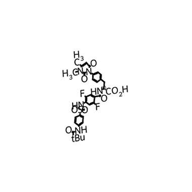 Cc1cc(=O)n(-c2ccc(C[C@H](NC(=O)c3cc(F)c(NS(=O)(=O)c4ccc(NC(=O)C(C)(C)C)cc4)cc3F)C(=O)O)cc2)c(=O)n1C